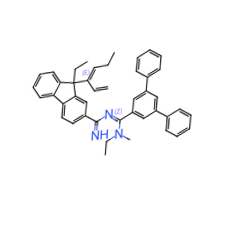 C=C/C(=C\CC)C1(CC)c2ccccc2-c2ccc(C(=N)/N=C(/c3cc(-c4ccccc4)cc(-c4ccccc4)c3)N(C)CC)cc21